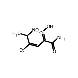 CCC(=CC(=NO)C(N)=O)C(C)[N+](=O)[O-]